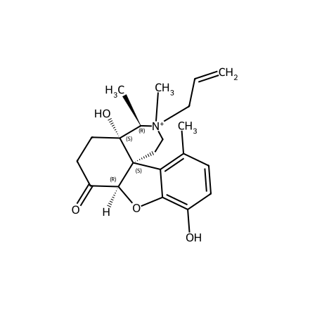 C=CC[N+]1(C)CC[C@]23c4c(C)ccc(O)c4O[C@H]2C(=O)CC[C@@]3(O)[C@H]1C